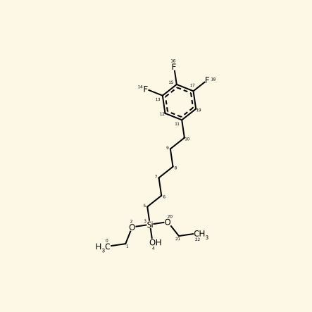 CCO[Si](O)(CCCCCCc1cc(F)c(F)c(F)c1)OCC